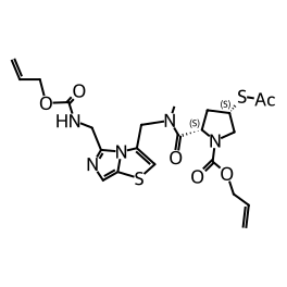 C=CCOC(=O)NCc1ncc2scc(CN(C)C(=O)[C@@H]3C[C@H](SC(C)=O)CN3C(=O)OCC=C)n12